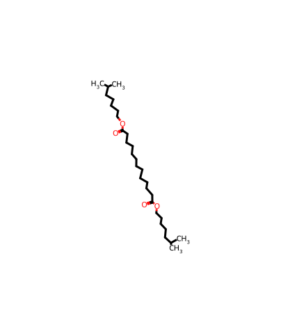 CC(C)CCCCCOC(=O)CCCCCCCCCCCC(=O)OCCCCCC(C)C